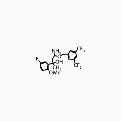 COc1ccc(F)cc1C(C)(O)CC(N)OCc1cc(C(F)(F)F)cc(C(F)(F)F)c1